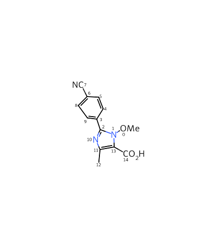 COn1c(-c2ccc(C#N)cc2)nc(C)c1C(=O)O